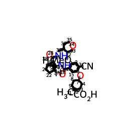 COc1cc(C#N)c(O[C@H]2CC[C@@](C)(C(=O)O)CC2)cc1C(=O)N[C@@H]1[C@H]2CC[C@H](C2)[C@@H]1C(=O)NCC1CCOCC1